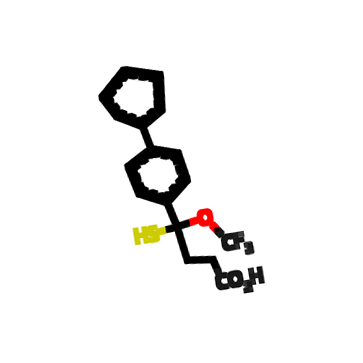 O=C(O)CCC(S)(OC(F)(F)F)c1ccc(-c2ccccc2)cc1